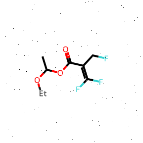 CCOC(C)OC(=O)C(CF)=C(F)F